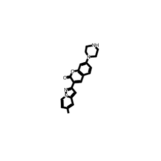 Cc1ccn2nc(-c3cc4ccc(N5CCNCC5)cc4oc3=O)cc2c1